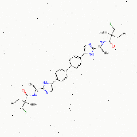 CC(=O)NC(CF)(CC(C)C)C(=O)N[C@H](c1ncc(-c2ccc(-c3ccc(-c4cnc([C@@H](NC(=O)C(CF)(CC(C)C)NC(C)=O)C(C)(C)C)[nH]4)cc3)cc2)[nH]1)C(C)(C)C